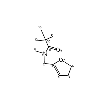 CN(CC1=CCCO1)C(=O)C(C)(C)C